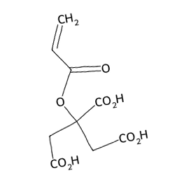 C=CC(=O)OC(CC(=O)O)(CC(=O)O)C(=O)O